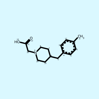 Cc1ccc(CC2CCN(CC(=O)O)CC2)cc1